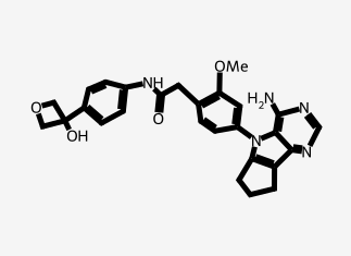 COc1cc(-n2c3c(c4ncnc(N)c42)CCC3)ccc1CC(=O)Nc1ccc(C2(O)COC2)cc1